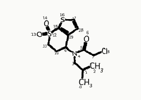 CC(C)CN(C(=O)CCl)C1CCS(=O)(=O)c2sccc21